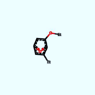 CCOc1cc2cc(CC)c1o2